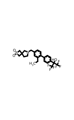 CCc1cc(CN2CCC3(C2)CS(=O)(=O)C3)ccc1-c1ccc(C(O)(C(F)(F)F)C(F)(F)F)cc1